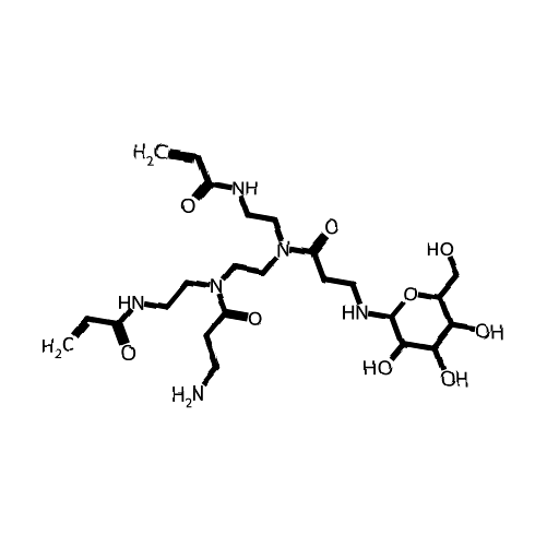 C=CC(=O)NCCN(CCN(CCNC(=O)C=C)C(=O)CCNC1OC(CO)C(O)C(O)C1O)C(=O)CCN